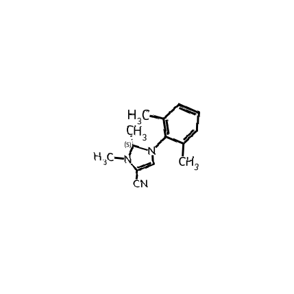 Cc1cccc(C)c1N1C=C(C#N)N(C)[C@@H]1C